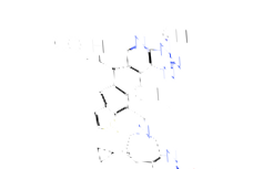 Cc1c([C@H](CC(=O)O)c2cc(CN3Cc4nc(O)ccc4C[C@H](C4CC4)C3)c3sccc3c2)cnc2c1nnn2C